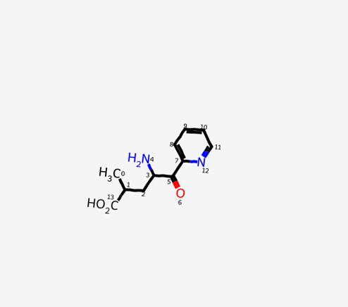 CC(CC(N)C(=O)c1ccccn1)C(=O)O